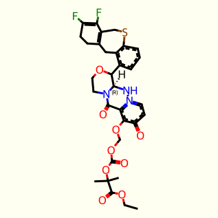 CCOC(=O)C(C)(C)OC(=O)OCOc1c2n(ccc1=O)N[C@@H]1C(c3cccc4c3CC3=C(CS4)C(F)=C(F)CC3)OCCN1C2=O